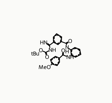 COc1ccc(C(=O)Nc2ccccc2NC(=O)c2cccc(C(=N)NC(=O)OC(C)(C)C)c2)cc1